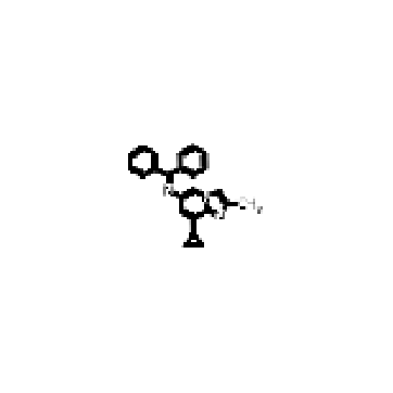 Cc1cn2cc(N=C(c3ccccc3)c3ccccc3)cc(C3CC3)c2n1